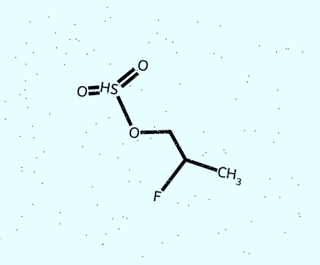 CC(F)CO[SH](=O)=O